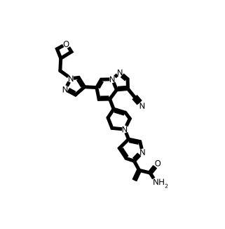 C=C(C(N)=O)c1ccc(N2CC=C(c3cc(-c4cnn(CC5COC5)c4)cn4ncc(C#N)c34)CC2)cn1